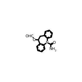 NC(=O)N1c2ccccc2CC(OC=O)c2ccccc21